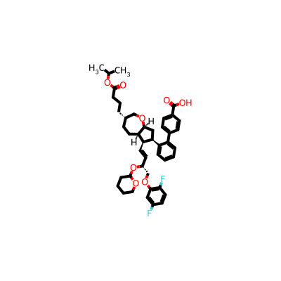 CC(C)OC(=O)CCC[C@H]1CC[C@@H]2[C@H](C=C[C@H](COc3cc(F)ccc3F)OC3CCCCO3)[C@H](c3ccccc3-c3ccc(C(=O)O)cc3)C[C@@H]2OC1